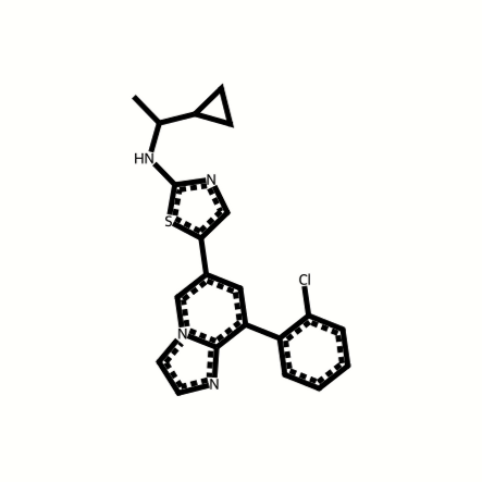 CC(Nc1ncc(-c2cc(-c3ccccc3Cl)c3nccn3c2)s1)C1CC1